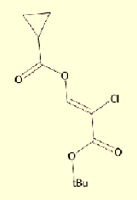 CC(C)(C)OC(=O)C(Cl)=COC(=O)C1CC1